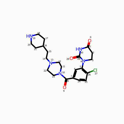 O=C1CCN(c2cc(C(=O)N3CCN(CCC4CCNCC4)CC3)ccc2Cl)C(=O)N1